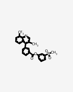 Cc1cnc2c(C(F)(F)F)cccc2c1-c1cccc(C(=O)Oc2cccc(S(C)(=O)=O)c2)c1